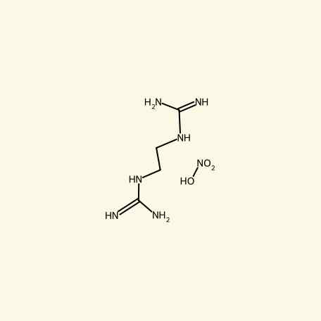 N=C(N)NCCNC(=N)N.O=[N+]([O-])O